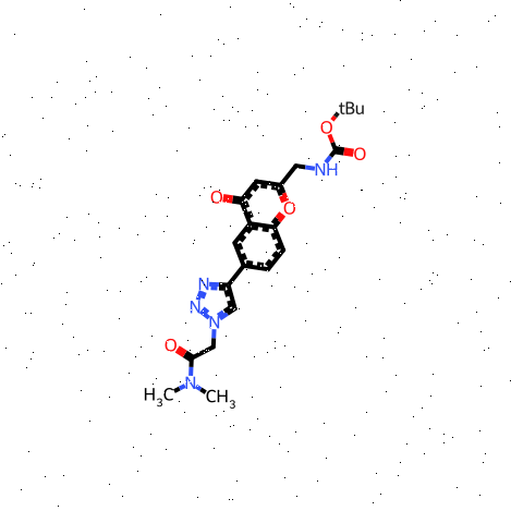 CN(C)C(=O)Cn1cc(-c2ccc3oc(CNC(=O)OC(C)(C)C)cc(=O)c3c2)nn1